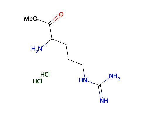 COC(=O)C(N)CCCNC(=N)N.Cl.Cl